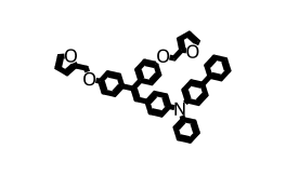 C(=C(c1ccc(OCc2ccco2)cc1)c1ccc(OCc2ccco2)cc1)c1ccc(N(c2ccccc2)c2ccc(-c3ccccc3)cc2)cc1